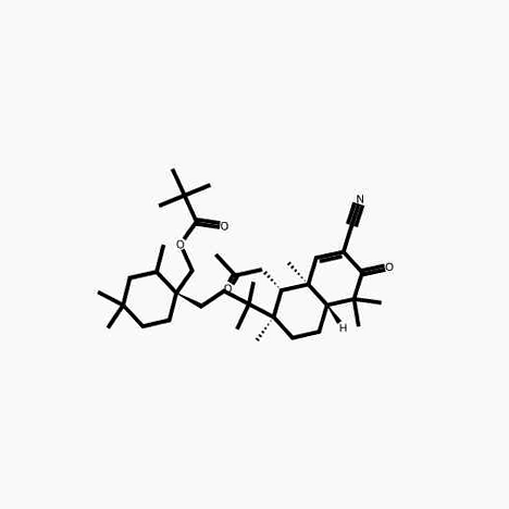 CC(=O)C[C@@H]1[C@@]2(C)C=C(C#N)C(=O)C(C)(C)[C@@H]2CC[C@@]1(C)C(C)(C)CC[C@@]1(COC(=O)C(C)(C)C)CCC(C)(C)CC1C